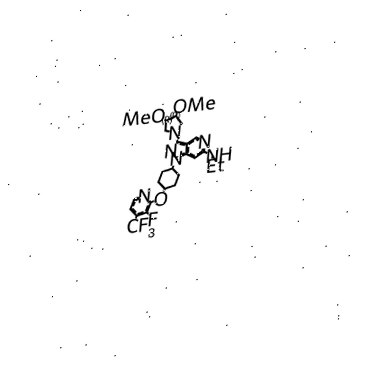 CCNc1cc2c(cn1)c(N1C[C@@H](OC)[C@H](OC)C1)nn2C1CCC(Oc2nccc(C(F)(F)F)c2F)CC1